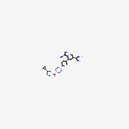 Cn1cc(-c2cc(-c3ccc(N4CCN(C(=O)N5CCC(C6CC6)C5)CC4)nc3)c3c(C#N)cnn3c2)cn1